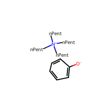 CCCCC[N+](CCCCC)(CCCCC)CCCCC.[O-]c1ccccc1